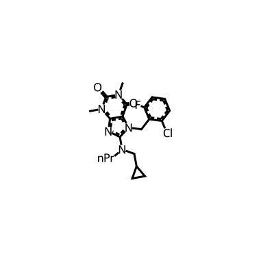 CCCN(CC1CC1)c1nc2c(c(=O)n(C)c(=O)n2C)n1Cc1c(F)cccc1Cl